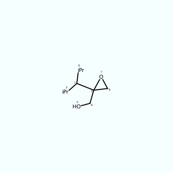 CC(C)C(C(C)C)C1(CO)CO1